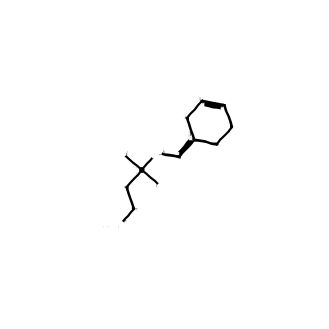 CCCCCCCCCC(C)(C)SC=C1CC=CCC1